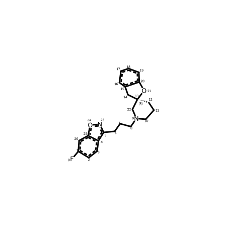 Fc1ccc2c(CCCN3CCC[C@@]4(Cc5ccccc5O4)C3)noc2c1